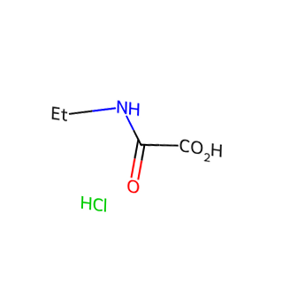 CCNC(=O)C(=O)O.Cl